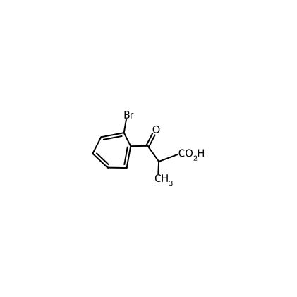 CC(C(=O)O)C(=O)c1ccccc1Br